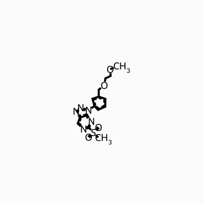 COCCOCc1cccc(-n2nnc3cnc(S(C)(=O)=O)nc32)c1